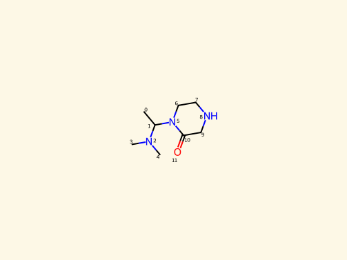 CC(N(C)C)N1CCNCC1=O